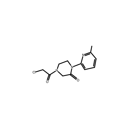 Cc1cccc(N2CCN(C(=O)CCl)CC2=O)n1